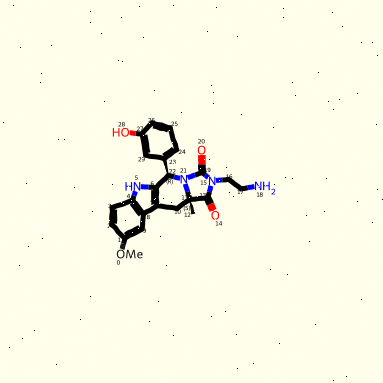 COc1ccc2[nH]c3c(c2c1)C[C@@]1(C)C(=O)N(CCN)C(=O)N1[C@@H]3c1cccc(O)c1